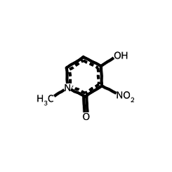 Cn1ccc(O)c([N+](=O)[O-])c1=O